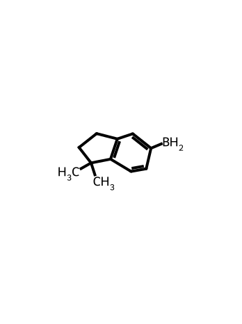 Bc1ccc2c(c1)CCC2(C)C